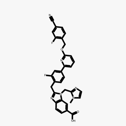 Cn1ccnc1Cn1c(Cc2ccc(-c3cccc(OCc4ccc(C#N)cc4F)n3)cc2F)nc2ccc(C(=O)O)cc21